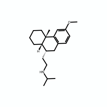 COc1ccc2c(c1)[C@@]1(C)CCCC[C@H]1[C@@H](CCNC(C)C)C2